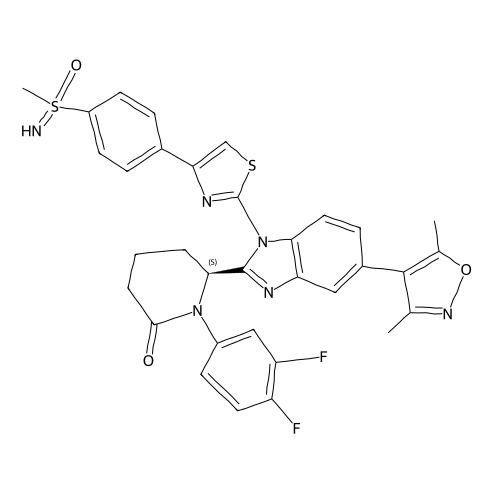 Cc1noc(C)c1-c1ccc2c(c1)nc([C@@H]1CCCC(=O)N1c1ccc(F)c(F)c1)n2-c1nc(-c2ccc(S(C)(=N)=O)cc2)cs1